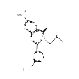 Cc1noc(-c2nc3sc([S+](C)[O-])nc3c(=O)n2CC(F)F)n1